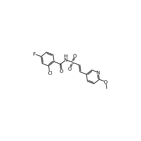 COc1ccc(C=CS(=O)(=O)NC(=O)c2ccc(F)cc2Cl)cn1